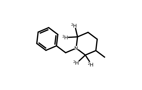 [2H]C1([2H])CCC(C)C([2H])([2H])N1Cc1ccccc1